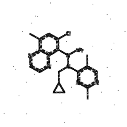 CCCN(c1c(Cl)cc(C)c2nccnc12)N(CC1CC1)c1nc(C)ncc1C